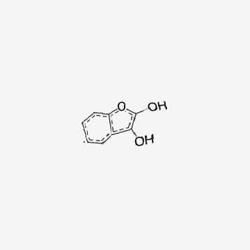 Oc1oc2cc[c]cc2c1O